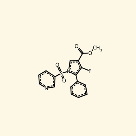 COC(=O)c1cn(S(=O)(=O)c2cccnc2)c(-c2ccccc2)c1F